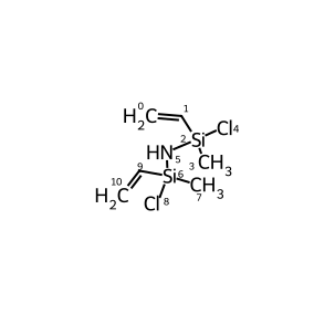 C=C[Si](C)(Cl)N[Si](C)(Cl)C=C